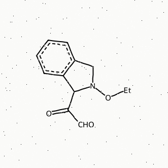 CCON1Cc2ccccc2C1C(=O)C=O